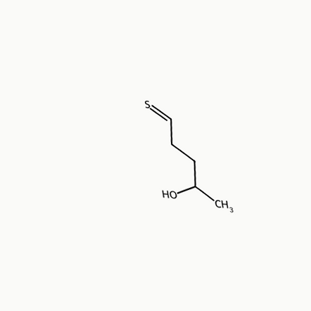 CC(O)CCC=S